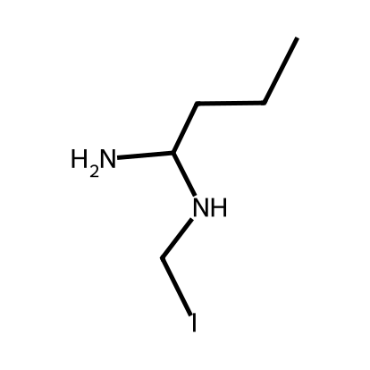 CCCC(N)NCI